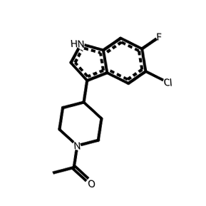 CC(=O)N1CCC(c2c[nH]c3cc(F)c(Cl)cc23)CC1